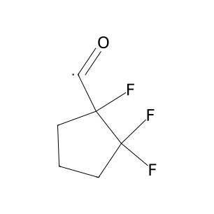 O=[C]C1(F)CCCC1(F)F